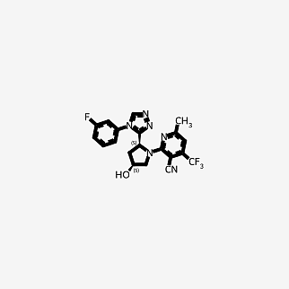 Cc1cc(C(F)(F)F)c(C#N)c(N2C[C@@H](O)C[C@H]2c2nncn2-c2cccc(F)c2)n1